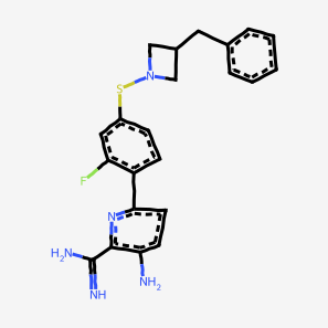 N=C(N)c1nc(-c2ccc(SN3CC(Cc4ccccc4)C3)cc2F)ccc1N